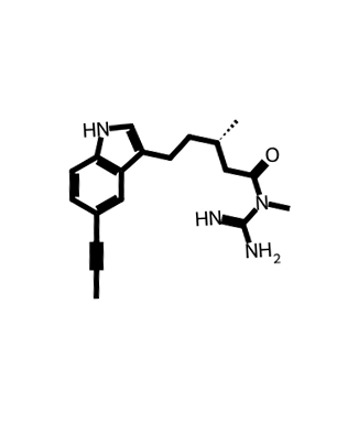 CC#Cc1ccc2[nH]cc(CC[C@H](C)CC(=O)N(C)C(=N)N)c2c1